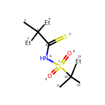 CCC(C)(CC)C(=S)NS(=O)(=O)C(C)(C)CC